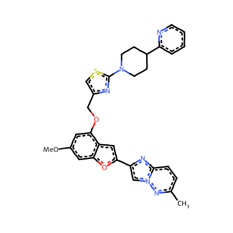 COc1cc(OCc2csc(N3CCC(c4ccccn4)CC3)n2)c2cc(-c3cn4nc(C)ccc4n3)oc2c1